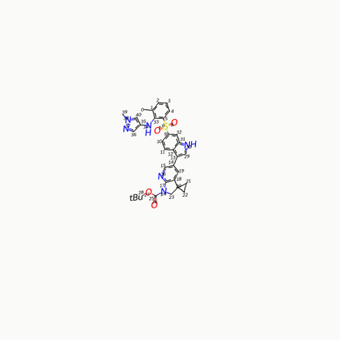 Cc1cccc(S(=O)(=O)c2ccc3c(-c4cnc5c(c4)C4(CC4)CN5C(=O)OC(C)(C)C)c[nH]c3c2)c1Nc1cnn(C)c1